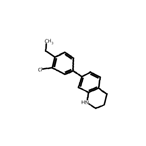 CCc1ccc(-c2ccc3c(c2)NCCC3)cc1Cl